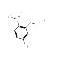 COCc1cc(C)ccc1[N+](=O)[O-]